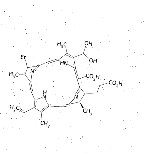 C=Cc1c(C)c2cc3nc(c(C(=O)O)c4[nH]c(cc5nc(cc1[nH]2)C(C)C5CC)c(C)c4C(O)O)[C@H](CCC(=O)O)[C@H]3C